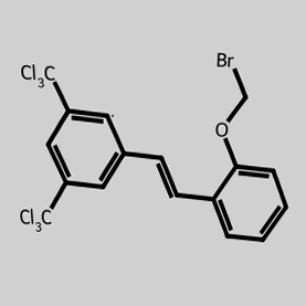 ClC(Cl)(Cl)c1[c]c(C=Cc2ccccc2OCBr)cc(C(Cl)(Cl)Cl)c1